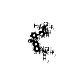 [2H]C([2H])([2H])c1cnc(-c2cccc([N+](=O)[O-])c2Oc2ccc3ccc4oc(C(C)(C)C)nc4c3c2)cc1C([2H])([2H])C(C)(C)C